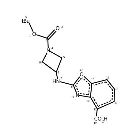 CC(C)(C)OC(=O)N1CC(Nc2nc3c(C(=O)O)cccc3o2)C1